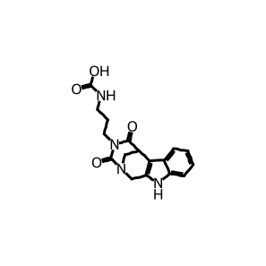 O=C(O)NCCCN1C(=O)C2CN(Cc3[nH]c4ccccc4c32)C1=O